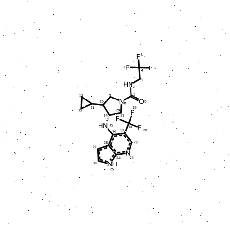 O=C(NCC(F)(F)F)N1CC(C2CC2)[C@@H](Nc2c(C(F)(F)F)cnc3[nH]ccc23)C1